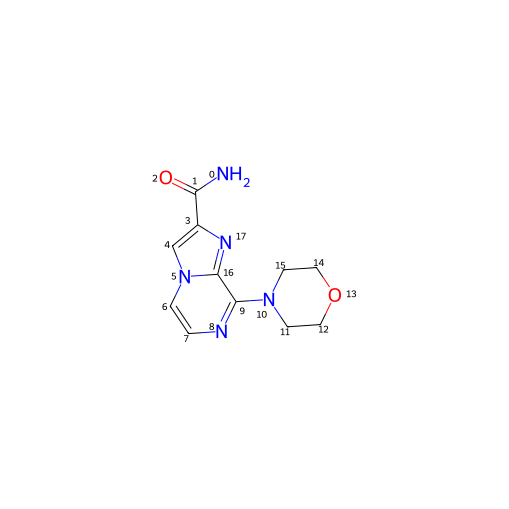 NC(=O)c1cn2ccnc(N3CCOCC3)c2n1